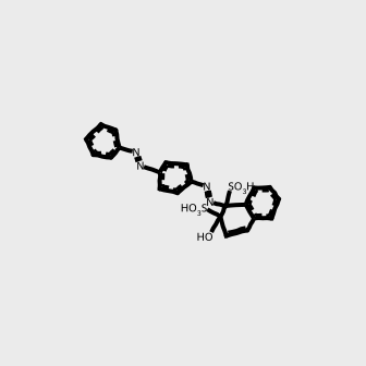 O=S(=O)(O)C1(O)C=Cc2ccccc2C1(N=Nc1ccc(N=Nc2ccccc2)cc1)S(=O)(=O)O